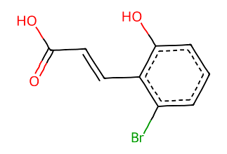 O=C(O)C=Cc1c(O)cccc1Br